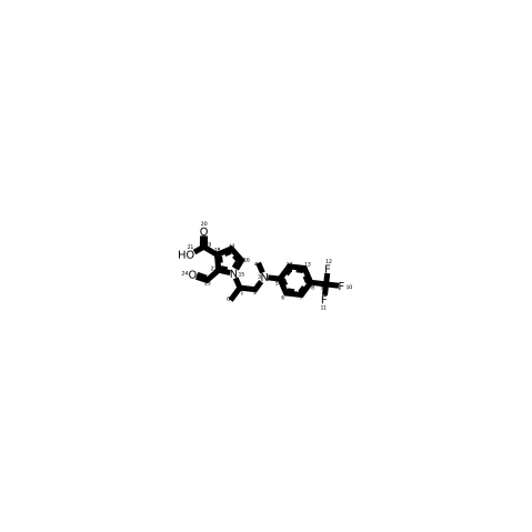 CC(CN(C)c1ccc(C(F)(F)F)cc1)n1ccc(C(=O)O)c1C=O